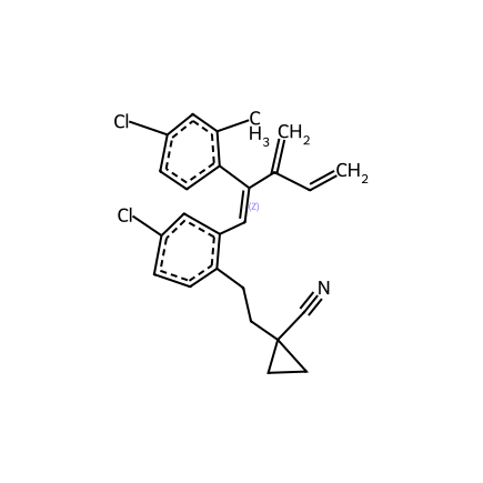 C=CC(=C)/C(=C/c1cc(Cl)ccc1CCC1(C#N)CC1)c1ccc(Cl)cc1C